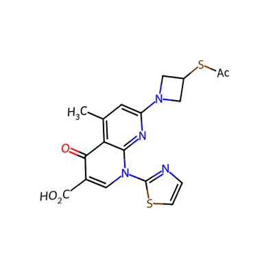 CC(=O)SC1CN(c2cc(C)c3c(=O)c(C(=O)O)cn(-c4nccs4)c3n2)C1